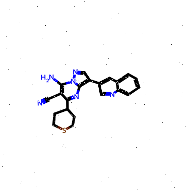 N#Cc1c(C2CCSCC2)nc2c(-c3cnc4ccccc4c3)cnn2c1N